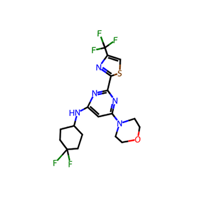 FC1(F)CCC(Nc2cc(N3CCOCC3)nc(-c3nc(C(F)(F)F)cs3)n2)CC1